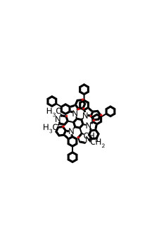 C=N/C=C\C=C(/C)c1c(-n2c3ccccc3c3cc(-c4ccccc4)ccc32)c(-c2cc(C)nc(C)c2)c(-n2c3ccccc3c3cc(-c4ccccc4)ccc32)c(-n2c3ccccc3c3cc(-c4ccccc4)ccc32)c1-n1c2ccccc2c2cc(-c3ccccc3)ccc21